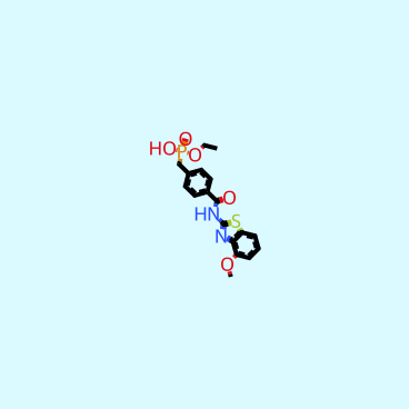 CCOP(=O)(O)Cc1ccc(C(=O)Nc2nc3c(OC)cccc3s2)cc1